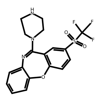 O=S(=O)(c1ccc2c(c1)C(N1CCNCC1)=Nc1ccccc1O2)C(F)(F)F